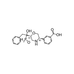 O=[PH2]C(O)(Cc1ccccc1)[C@@H]1CN[C@H](c2cccc(C(=O)O)c2)CO1